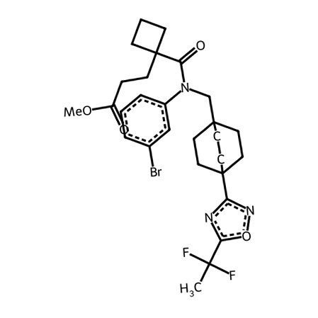 COC(=O)CCC1(C(=O)N(CC23CCC(c4noc(C(C)(F)F)n4)(CC2)CC3)c2cccc(Br)c2)CCC1